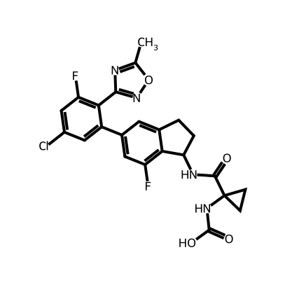 Cc1nc(-c2c(F)cc(Cl)cc2-c2cc(F)c3c(c2)CCC3NC(=O)C2(NC(=O)O)CC2)no1